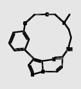 CN1CCCOc2cccc(c2)-c2cnn3ccc(nc23)NCC1